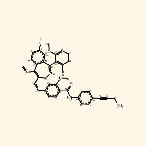 C=NC1=C(/C=N\c2ccc(C(=O)Nc3ccc(C#CCN)cc3)c(OC)c2)CN=C(C2=C(F)CCC=C2OC)c2cc(Cl)ccc21